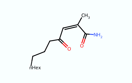 CCCCCCCCCC(=O)C=C(C)C(N)=O